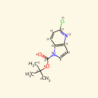 CC(C)(C)OC(=O)n1ccc2nc(Cl)ccc21